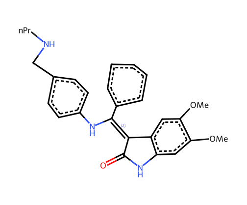 CCCNCc1ccc(N/C(=C2\C(=O)Nc3cc(OC)c(OC)cc32)c2ccccc2)cc1